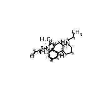 CCCN1CCC[C@@H]2c3cccc4c3c(c(C)n4SNC=O)C[C@H]21